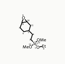 CCO[Si](CCC1CCC2OC2C1)(OC)OC